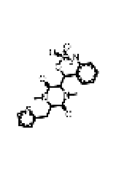 CN1C(=O)C(C(OS(C)(=O)=O)c2ccccc2[N+](=O)[O-])N(C)C(=O)C1Cc1cccs1